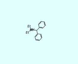 CC(C)C(c1ccccc1)c1ccccc1.CCNCC